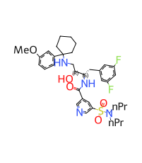 CCCN(CCC)S(=O)(=O)c1cncc(C(=O)N[C@@H](Cc2cc(F)cc(F)c2)[C@H](O)CNC2(c3cccc(OC)c3)CCCCC2)c1